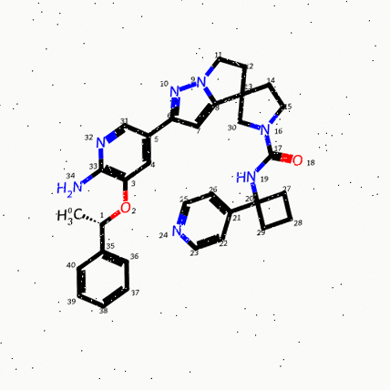 C[C@H](Oc1cc(-c2cc3n(n2)CCC32CCN(C(=O)NC3(c4ccncc4)CCC3)C2)cnc1N)c1ccccc1